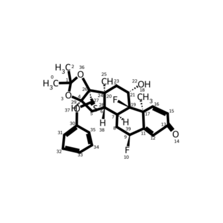 CC1(C)O[C@@H]2C[C@H]3[C@@H]4C[C@H](F)C5=CC(=O)C=C[C@]5(C)[C@@]4(F)[C@@H](O)C[C@]3(C)[C@]2(C(=S)Oc2ccccc2)O1